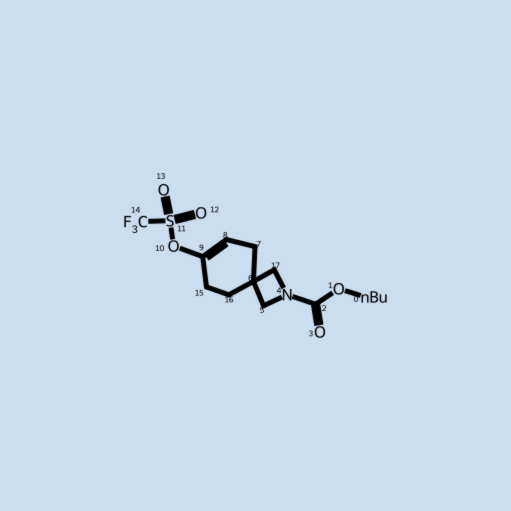 CCCCOC(=O)N1CC2(CC=C(OS(=O)(=O)C(F)(F)F)CC2)C1